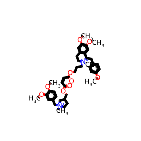 COc1ccc(CC2c3cc(OC)c(OC)cc3CC[N+]2(C)CCCOC(=O)/C=C\C(=O)OCC2CC[N+](C)(Cc3ccc(OC)c(OC)c3)C2)cc1